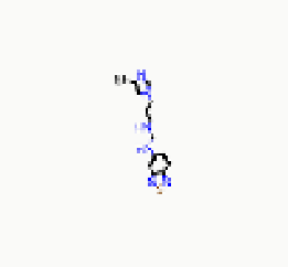 CCc1cn(CCCNCNc2ccc3nsnc3c2)cn1